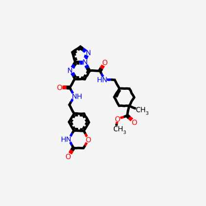 COC(=O)C1(C)CC=C(CNC(=O)c2cc(C(=O)NCc3ccc4c(c3)NC(=O)CO4)nc3ccnn23)CC1